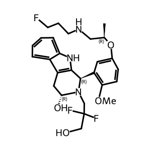 COc1ccc(O[C@H](C)CNCCCF)cc1[C@@H]1c2[nH]c3ccccc3c2C[C@@H](O)N1CC(F)(F)CO